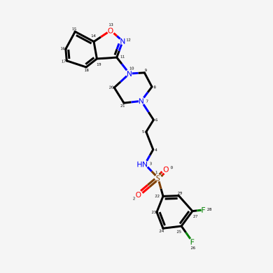 O=S(=O)(NCCCN1CCN(c2noc3ccccc23)CC1)c1ccc(F)c(F)c1